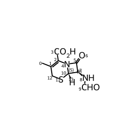 CC1=C(C(=O)O)N2C(=O)[C@@H](NC=O)[C@@H]2SC1